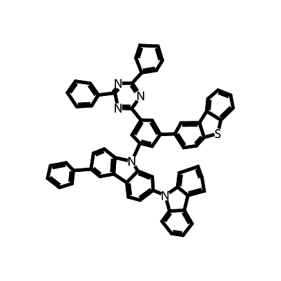 c1ccc(-c2ccc3c(c2)c2ccc(-n4c5ccccc5c5ccccc54)cc2n3-c2cc(-c3ccc4sc5ccccc5c4c3)cc(-c3nc(-c4ccccc4)nc(-c4ccccc4)n3)c2)cc1